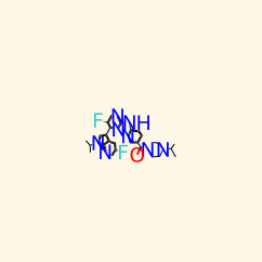 CC(C)N1CCN(C(=O)c2ccc(Nc3ncc(F)c(-c4cn(C(C)C)c5ncc(F)cc45)n3)nc2)CC1